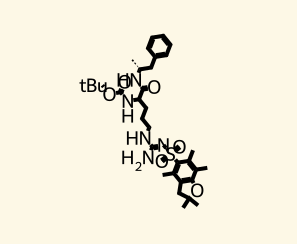 Cc1c(C)c(S(=O)(=O)/N=C(\N)NCCCC(NC(=O)OC(C)(C)C)C(=O)N[C@H](C)Cc2ccccc2)c(C)c2c1OC(C)(C)C2